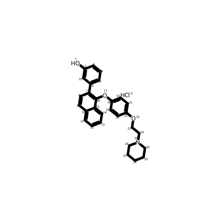 Cl.Oc1cccc(-c2ccc3ccccc3c2Oc2ccc(OCCN3CCCCC3)cc2)c1